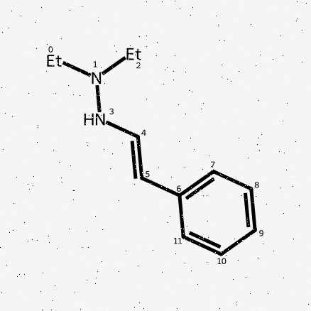 CCN(CC)NC=Cc1ccccc1